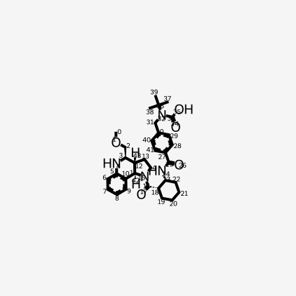 COC[C@@H]1Nc2ccccc2[C@H]2[C@H]1CCN2C(=O)[C@H]1CCCC[C@H]1NC(=O)c1ccc(CN(C(=O)O)C(C)(C)C)cc1